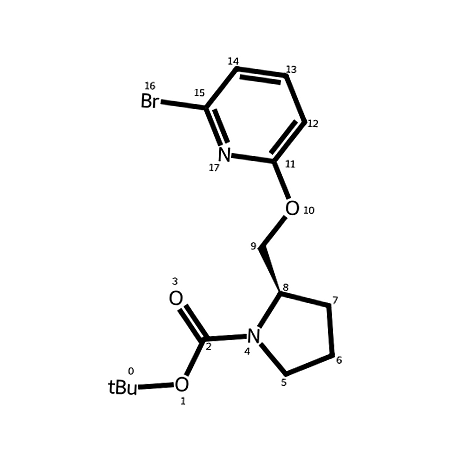 CC(C)(C)OC(=O)N1CCC[C@@H]1COc1cccc(Br)n1